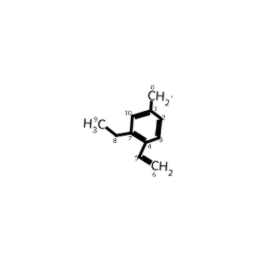 [CH2]c1ccc(C=C)c([CH]C)c1